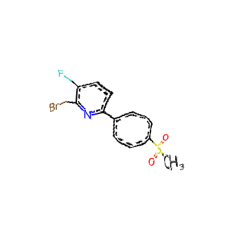 CS(=O)(=O)c1ccc(-c2ccc(F)c(Br)n2)cc1